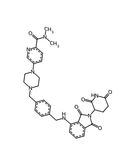 CN(C)C(=O)c1ccc(N2CCN(Cc3ccc(CNc4cccc5c4C(=O)N(C4CCC(=O)NC4=O)C5=O)cc3)CC2)cn1